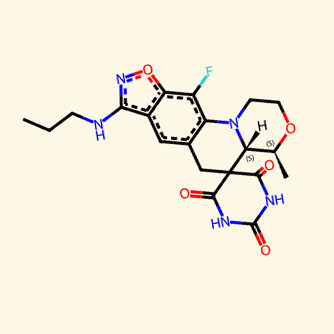 CCCNc1noc2c(F)c3c(cc12)CC1(C(=O)NC(=O)NC1=O)[C@H]1[C@H](C)OCCN31